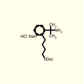 CCCCCCCCCCCCCCc1ccccc1C(C)(C)N.Cl.[NaH]